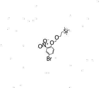 C[Si](C)(C)CCOCOc1ccc(Br)cc1[N+](=O)[O-]